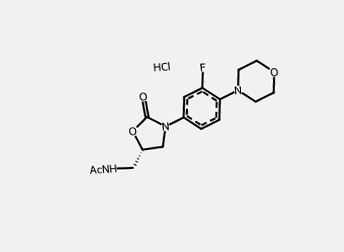 CC(=O)NC[C@H]1CN(c2ccc(N3CCOCC3)c(F)c2)C(=O)O1.Cl